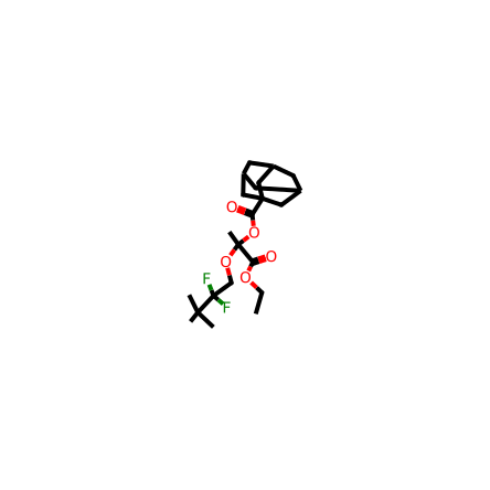 CCOC(=O)C(C)(OCC(F)(F)C(C)(C)C)OC(=O)C12CC3CC(CC(C3)C1)C2